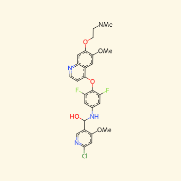 CNCCOc1cc2nccc(Oc3c(F)cc(NC(O)c4cnc(Cl)cc4OC)cc3F)c2cc1OC